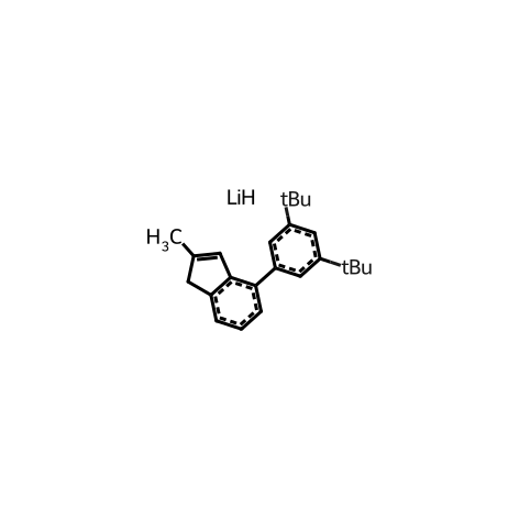 CC1=Cc2c(cccc2-c2cc(C(C)(C)C)cc(C(C)(C)C)c2)C1.[LiH]